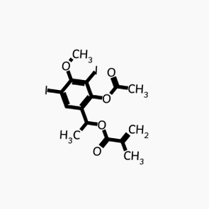 C=C(C)C(=O)OC(C)c1cc(I)c(OC)c(I)c1OC(C)=O